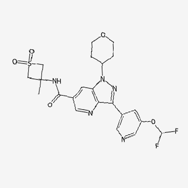 CC1(NC(=O)c2cnc3c(-c4cncc(OC(F)F)c4)nn(C4CCOCC4)c3c2)CS(=O)(=O)C1